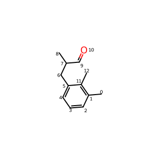 Cc1cccc(CC(C)C=O)c1C